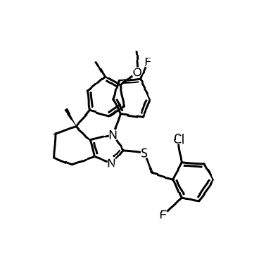 COc1ccc([C@@]2(C)CCCc3nc(SCc4c(F)cccc4Cl)n(-c4ccc(F)cc4)c32)cc1C